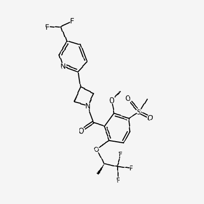 COc1c(S(C)(=O)=O)ccc(O[C@H](C)C(F)(F)F)c1C(=O)N1CC(c2ccc(C(F)F)cn2)C1